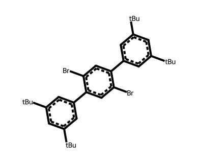 CC(C)(C)c1cc(-c2cc(Br)c(-c3cc(C(C)(C)C)cc(C(C)(C)C)c3)cc2Br)cc(C(C)(C)C)c1